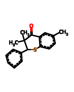 Cc1ccc2c(c1)C(=O)C(C)(C)C(c1ccccc1)S2